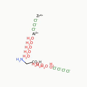 NCC(=O)O.O.O.O.O.O.O.O.O.O.[Al+3].[Cl-].[Cl-].[Cl-].[Cl-].[Cl-].[Cl-].[Cl-].[Zr+4]